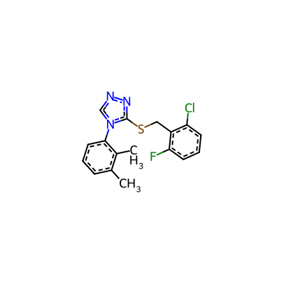 Cc1cccc(-n2cnnc2SCc2c(F)cccc2Cl)c1C